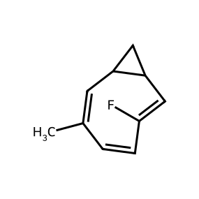 CC1=C/C2CC2/C=C(F)/C=C\1